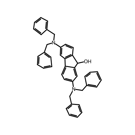 OC1c2ccc(N(Cc3ccccc3)Cc3ccccc3)cc2-c2ccc(N(Cc3ccccc3)Cc3ccccc3)cc21